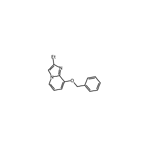 CCc1cn2cccc(OCc3ccccc3)c2n1